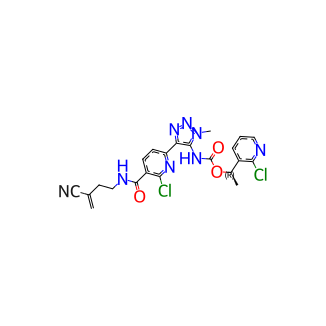 C=C(C#N)CCNC(=O)c1ccc(-c2nnn(C)c2NC(=O)O[C@H](C)c2cccnc2Cl)nc1Cl